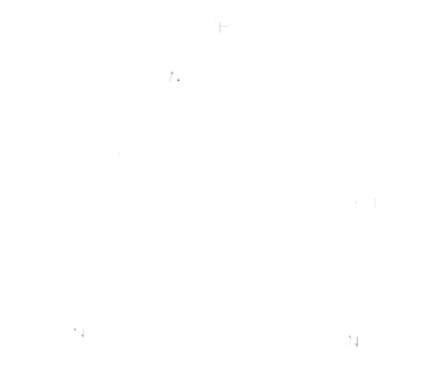 CSc1cncc(CCOc2cc(CCOc3cccc(C)n3)ccn2)c1